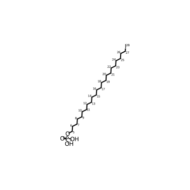 O=P(O)(O)OCCCCCCCCCCCCCCCCCCCCCCCI